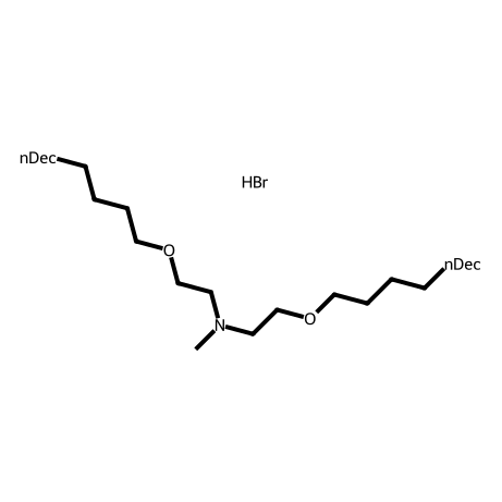 Br.CCCCCCCCCCCCCCOCCN(C)CCOCCCCCCCCCCCCCC